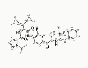 CC(C)n1nccc1C(=O)N[C@H](C(=O)Nc1ccc([C@H](C)C(=O)NC(Cc2ccccn2)C(F)(F)F)cc1F)C(C1CC1)C1CC1